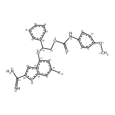 COc1ccc(NC(=O)OCC(Oc2cc(F)cc3sc(C(=N)N)cc23)c2ccccc2)cc1